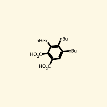 CCCCCCc1c(CCCC)c(CCCC)cc(C(=O)O)c1C(=O)O